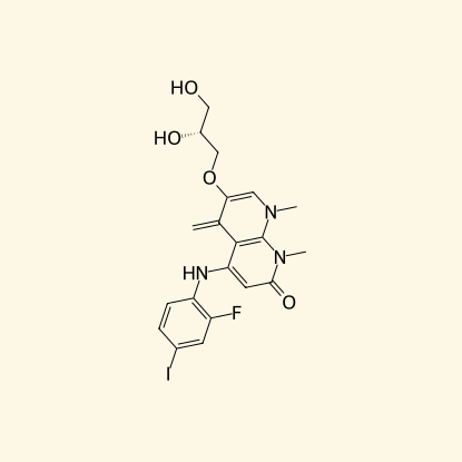 C=C1C(OC[C@H](O)CO)=CN(C)c2c1c(Nc1ccc(I)cc1F)cc(=O)n2C